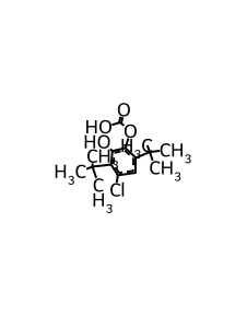 CC(C)(C)c1cc(Cl)c(C(C)(C)C)c(O)c1OC(=O)O